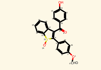 O=COc1ccc(-c2c(C(=O)c3ccc(O)cc3)c3ccccc3[s+]2[O-])cc1